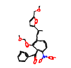 COCOc1c(/C=C(\C)c2ccc(COC)o2)ccc([N+](=O)[O-])c1C(=O)c1ccccc1